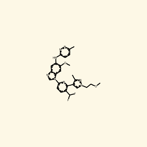 COCCn1cc(-c2nc(-n3cnc4cc(Nc5ccc(C)nn5)c(OC)cc43)ccc2C(F)F)c(C)n1